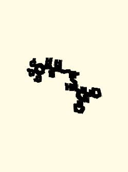 COc1cc(NC(=S)NCCN(C)CCNc2cc(N3CCCC3)nc(N3CCCC3)n2)cc(OC)c1OC